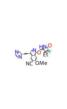 CC[C@@H]1[C@H](F)C(=O)N[C@@H]1COc1ncc(C#Cc2cnccn2)c2cc(C#N)c(OC)cc12